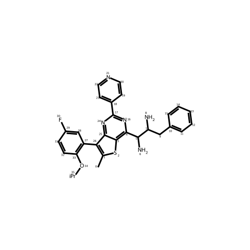 Cc1sc2c(C(N)C(N)Cc3ccccc3)nc(-c3ccncc3)nc2c1-c1cc(F)ccc1OC(C)C